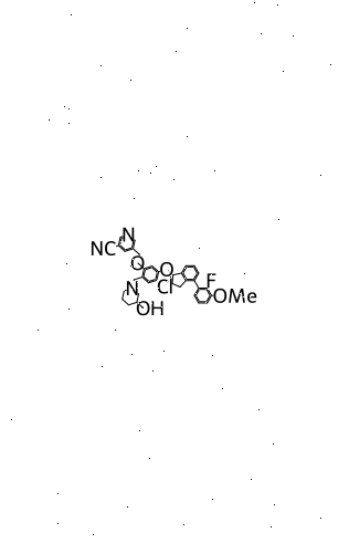 COc1cccc(-c2cccc3c2CC[C@@H]3Oc2cc(OCc3cncc(C#N)c3)c(CN3CCC[C@H](O)C3)cc2Cl)c1F